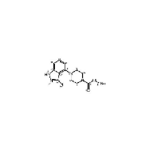 CC(C)(C)OC(=O)N1CCN(c2cccc3[nH]nc(I)c23)CC1